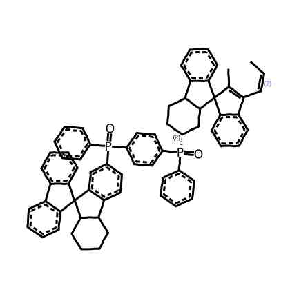 C/C=C\C1=C(C)C2(c3ccccc31)c1ccccc1C1CC[C@@H](P(=O)(c3ccccc3)c3ccc(P(=O)(c4ccccc4)c4ccc5c(c4)C4(c6ccccc6-c6ccccc64)C4CCCCC54)cc3)CC12